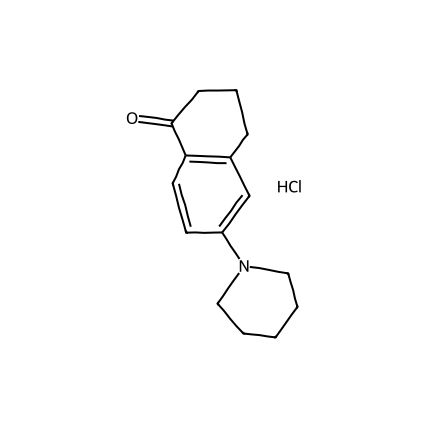 Cl.O=C1CCCc2cc(N3CCCCC3)ccc21